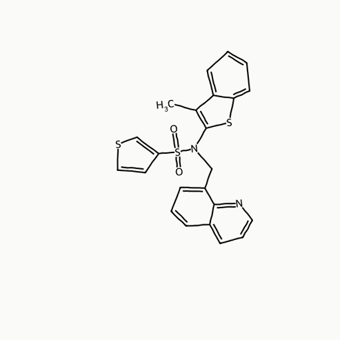 Cc1c(N(Cc2cccc3cccnc23)S(=O)(=O)c2ccsc2)sc2ccccc12